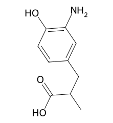 CC(Cc1ccc(O)c(N)c1)C(=O)O